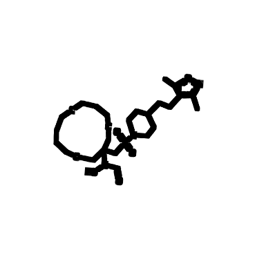 Cc1noc(C)c1CCC1CCN(S(=O)(=O)CC2(N(O)C=O)CCCCCCCCCCCC2)CC1